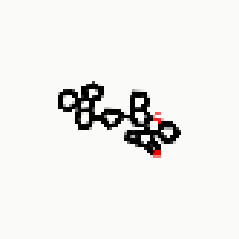 c1ccc2c(c1)Oc1c(cc(-c3ccc(-c4cccc5c4-c4ccccc4C54CCCCC4)cc3)c3ccccc13)C21c2ccccc2-c2ccccc21